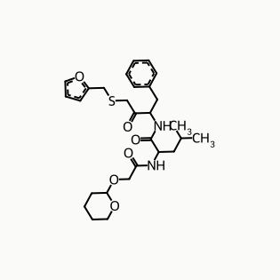 CC(C)CC(NC(=O)COC1CCCCO1)C(=O)NC(Cc1ccccc1)C(=O)CSCc1ccco1